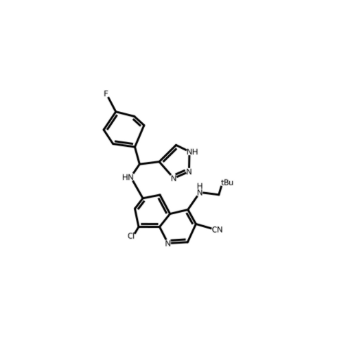 CC(C)(C)CNc1c(C#N)cnc2c(Cl)cc(NC(c3ccc(F)cc3)c3c[nH]nn3)cc12